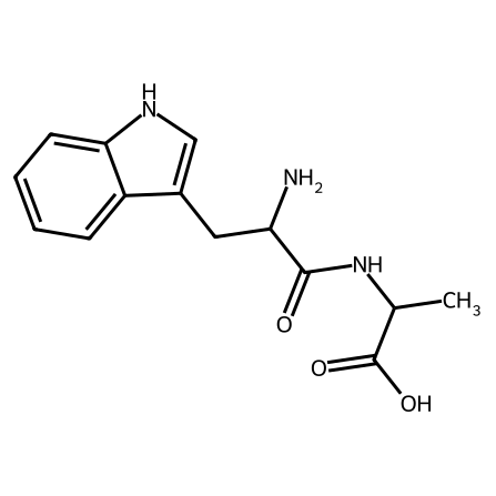 CC(NC(=O)C(N)Cc1c[nH]c2ccccc12)C(=O)O